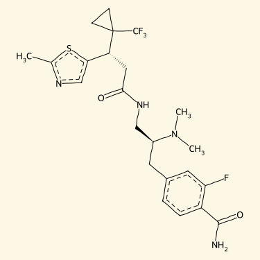 Cc1ncc([C@@H](CC(=O)NC[C@H](Cc2ccc(C(N)=O)c(F)c2)N(C)C)C2(C(F)(F)F)CC2)s1